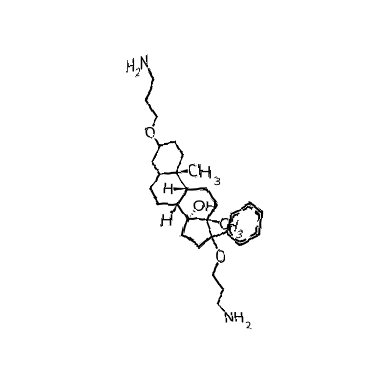 C[C@]12CCC(OCCCN)CC1CC[C@@H]1[C@H]2CC[C@]2(C)C(OCCCN)(c3ccccc3)CC[C@@]12O